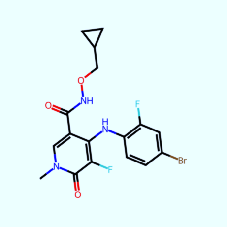 Cn1cc(C(=O)NOCC2CC2)c(Nc2ccc(Br)cc2F)c(F)c1=O